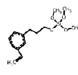 C=Cc1cccc(CCCO[Si](OC)(OC)OC)c1